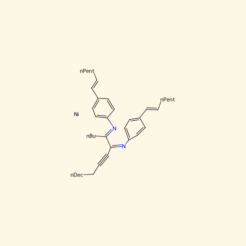 CCCCCC=Cc1ccc(N=C(C#CCCCCCCCCCCC)C(CCCC)=Nc2ccc(C=CCCCCC)cc2)cc1.[Ni]